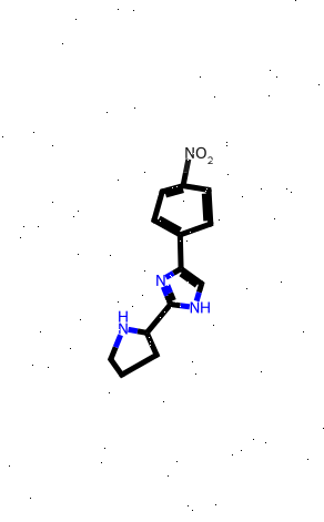 O=[N+]([O-])c1ccc(-c2c[nH]c(C3CCCN3)n2)cc1